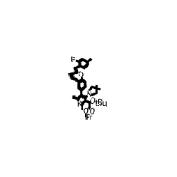 Cc1ccc(CC2CCc3cc(-c4c(C)nc(C)c(C(OC(C)(C)C)C(=O)OC(C)C)c4N4CCC(C)(C)CC4)ccc3O2)c(F)c1